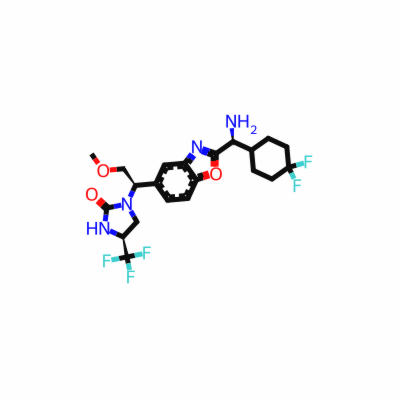 COC[C@@H](c1ccc2oc([C@@H](N)C3CCC(F)(F)CC3)nc2c1)N1C[C@@H](C(F)(F)F)NC1=O